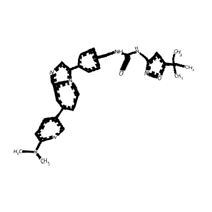 CN(C)c1ccc(-c2ccn3c(-c4ccc(NC(=O)Nc5cc(C(C)(C)C)on5)cc4)cnc3c2)cn1